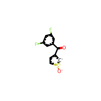 O=C(c1[c-][s+]([O-])cc1)c1cc(F)cc(F)c1